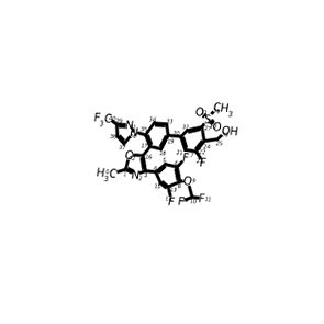 Cc1nc(-c2cc(F)c(OC(F)F)c(F)c2)c(-c2cc(-c3cc(F)c(CO)c(S(C)(=O)=O)c3)ccc2-n2ccc(C(F)(F)F)n2)o1